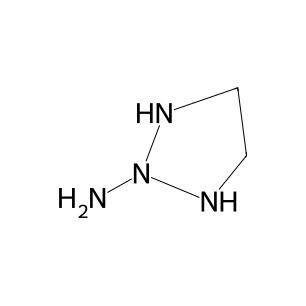 NN1NCCN1